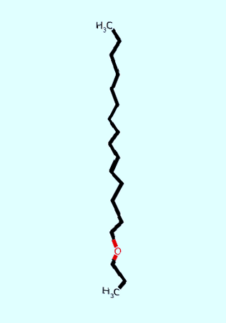 CCCCCCCCCCCCCCCOCCC